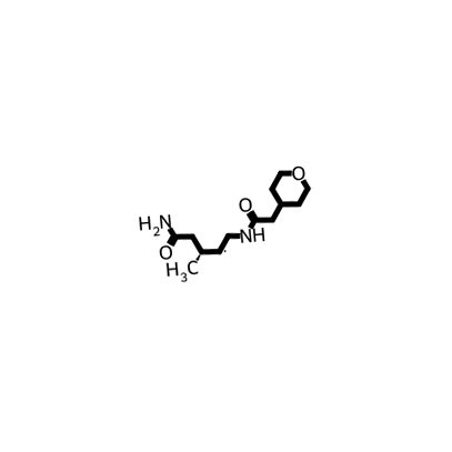 C[C@@H]([CH]CNC(=O)CC1CCOCC1)CC(N)=O